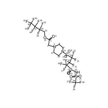 O=C(CN1CCN(S(=O)(=O)C(F)(F)C(F)(F)C(F)(F)S(=O)(=O)NS(=O)(=O)C(F)(F)F)CC1)OCC(F)(F)C(F)(F)C(F)(F)F